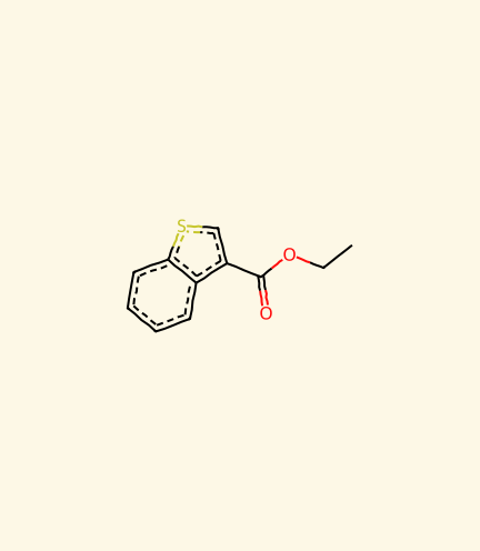 CCOC(=O)c1csc2ccccc12